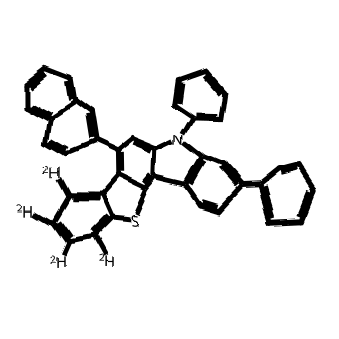 [2H]c1c([2H])c([2H])c2c(sc3c2c(-c2ccc4ccccc4c2)cc2c3c3ccc(-c4ccccc4)cc3n2-c2ccccc2)c1[2H]